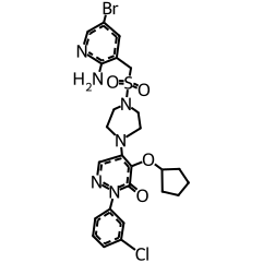 Nc1ncc(Br)cc1CS(=O)(=O)N1CCN(c2cnn(-c3cccc(Cl)c3)c(=O)c2OC2CCCC2)CC1